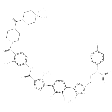 Cc1nn(CCN(c2ccc(F)cc2)[SH](=O)=O)cc1-c1ccc(-c2cnc(C(=O)Nc3ccc(C(=O)N4CCN(C(=O)C5CC[N+](C)(C)CC5)CC4)c(Cl)c3)n2C)c(F)c1F